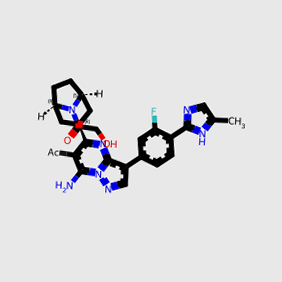 CC(=O)c1c([C@H]2C[C@H]3CC[C@@H](C2)N3C(=O)CO)nc2c(-c3ccc(-c4ncc(C)[nH]4)c(F)c3)cnn2c1N